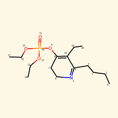 CCCCC1=NCCC(OP(=O)(OCC)OCC)=C1CC